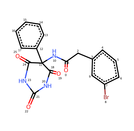 O=C(Cc1cccc(Br)c1)NC1(c2ccccc2)C(=O)NC(=O)NC1=O